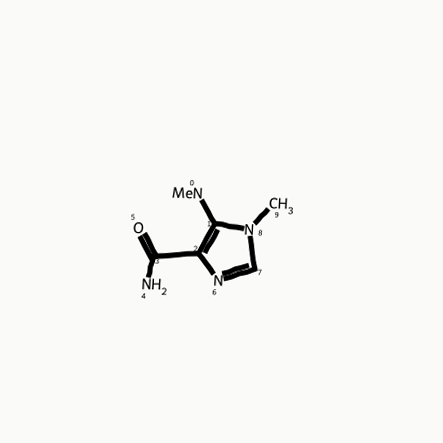 CNc1c(C(N)=O)ncn1C